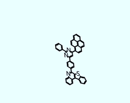 c1ccc(-c2nc(-c3ccc(-c4nc5ccccc5c5c4sc4ccccc45)cc3)cc(-c3ccc4ccc5cccc6ccc3c4c56)n2)cc1